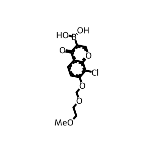 COCCOCOc1ccc2c(=O)c(B(O)O)coc2c1Cl